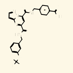 CC(=O)C12CCC(CNC(=O)c3cc(C(=O)NCc4cccc(OC(F)(F)F)c4)nc4ccnn34)(CC1)CC2